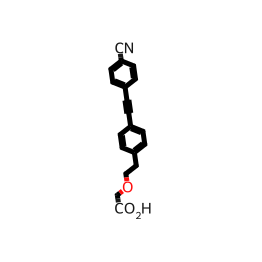 N#Cc1ccc(C#Cc2ccc(CCOCC(=O)O)cc2)cc1